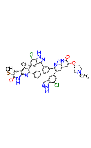 CSc1cc2c(C)c(-c3cc(Cl)c4[nH]nc(-c5cccc(-c6nc7[nH]c(=O)c(OC8CCN(C)CC8)cc7cc6-c6cc(Cl)c7[nH]ncc7c6)c5)c4c3)c(-c3ccccc3)nc2[nH]c1=O